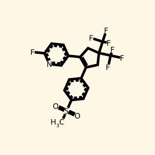 CS(=O)(=O)c1ccc(C2=C(c3ccc(F)nc3)CC(C(F)(F)F)(C(F)(F)F)C2)cc1